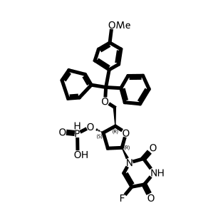 COc1ccc(C(OC[C@H]2O[C@@H](n3cc(F)c(=O)[nH]c3=O)C[C@@H]2O[PH](=O)O)(c2ccccc2)c2ccccc2)cc1